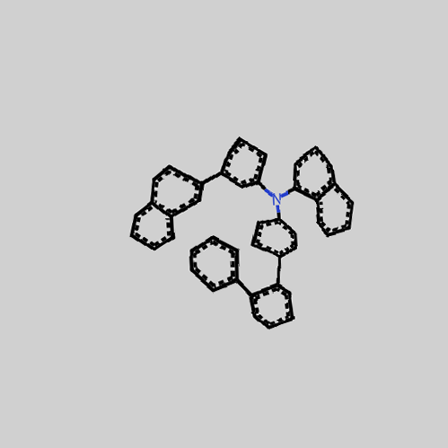 c1ccc(-c2ccccc2-c2ccc(N(c3cccc(-c4ccc5ccccc5c4)c3)c3cccc4ccccc34)cc2)cc1